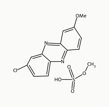 COS(=O)(=O)O.COc1ccc2nc3ccc(Cl)cc3nc2c1